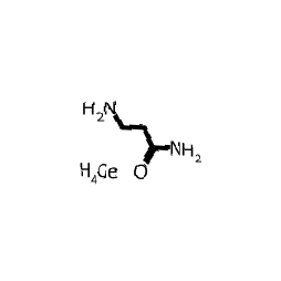 NCCC(N)=O.[GeH4]